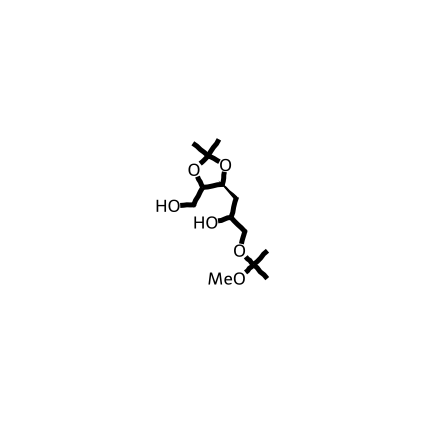 COC(C)(C)OCC(O)C[C@@H]1OC(C)(C)OC1CO